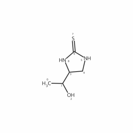 CC(O)C1CNC(=S)N1